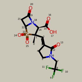 C[C@]1(/C=C2\CCN(CC(F)(F)F)C2=O)[C@H](C(=O)O)N2C(=O)CC2S1(=O)=O